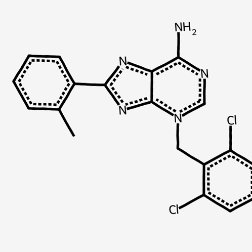 Cc1ccccc1-c1nc2c(N)ncn(Cc3c(Cl)cccc3Cl)c-2n1